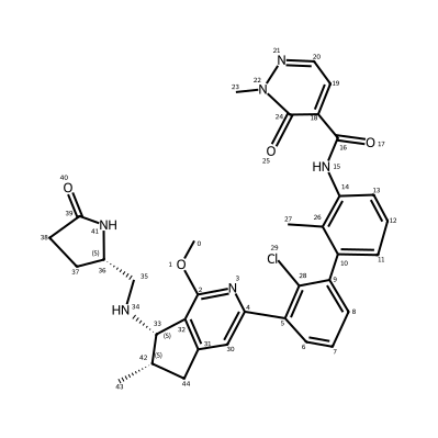 COc1nc(-c2cccc(-c3cccc(NC(=O)c4ccnn(C)c4=O)c3C)c2Cl)cc2c1[C@@H](NC[C@@H]1CCC(=O)N1)[C@@H](C)C2